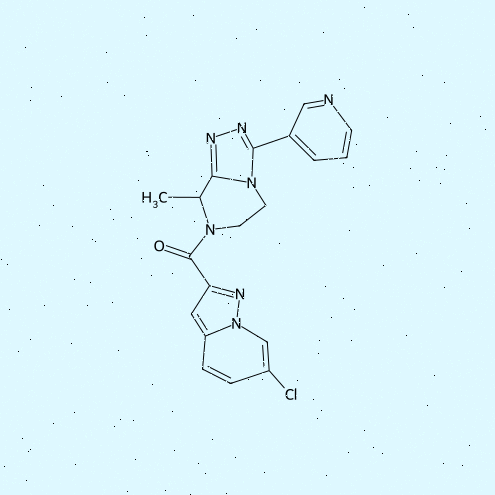 CC1c2nnc(-c3cccnc3)n2CCN1C(=O)c1cc2ccc(Cl)cn2n1